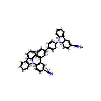 N#CC1=CC2c3ccccc3N(c3ccc(-c4cccc(-c5cc(C#N)ccc5-n5c6c(c7ccccc75)C=CCC6)c4)cc3)C2C=C1